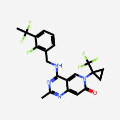 Cc1nc(NCc2cccc(C(C)(F)F)c2F)c2cn(C3(C(F)(F)F)CC3)c(=O)cc2n1